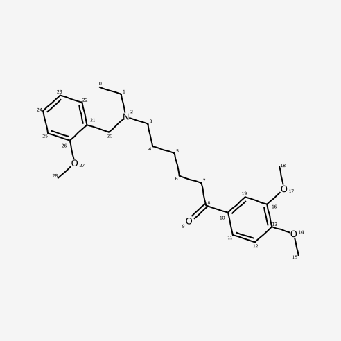 CCN(CCCCCC(=O)c1ccc(OC)c(OC)c1)Cc1ccccc1OC